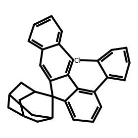 Clc1ccccc1-c1cccc2c1-c1cc3ccccc3cc1C21C2CC3CC(C2)CC1C3